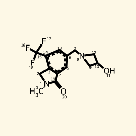 CN1Cc2c(cc(CN3CC(O)C3)cc2C(F)(F)F)C1=O